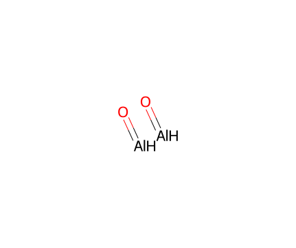 [O]=[AlH].[O]=[AlH]